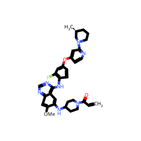 C=CC(=O)N1CCC(Nc2cc3c(Nc4ccc(Oc5ccnc(N6CCC[C@@H](C)C6)c5)cc4F)ncnc3cc2OC)CC1